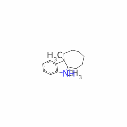 CC12CCCCCCC1(C)c1ccccc1N2